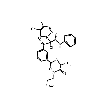 CCCCCCCCCCCCOC(=O)C(C)OC(=O)c1cccc(C(=O)C(Cl)(C(=O)Nc2ccccc2)n2ncc(Cl)c(Cl)c2=O)c1